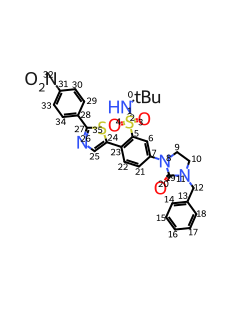 CC(C)(C)NS(=O)(=O)c1cc(N2CCN(Cc3ccccc3)C2=O)ccc1-c1cnc(-c2ccc([N+](=O)[O-])cc2)s1